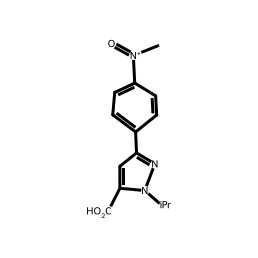 CC(C)n1nc(-c2ccc([N+](C)=O)cc2)cc1C(=O)O